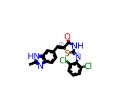 Cc1nc2ccc(/C=C3\S/C(=N\c4c(Cl)cccc4Cl)NC3=O)cc2[nH]1